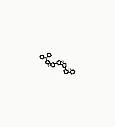 c1ccc(N(c2ccccc2)c2ccc3oc4ccc(-c5ccc6oc7ccc(-c8cccc9c8oc8ccccc89)cc7c6c5)cc4c3c2)cc1